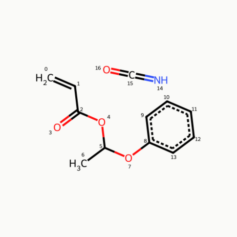 C=CC(=O)OC(C)Oc1ccccc1.N=C=O